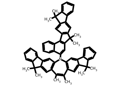 CC1=C(C)c2cc3c(cc2N(c2cc4c(c5ccccc25)-c2cc5c(cc2C4(C)C)-c2ccccc2C5(C)C)c2cc4c(cc21)C(C)(C)c1ccccc1-4)-c1ccccc1C3(C)C